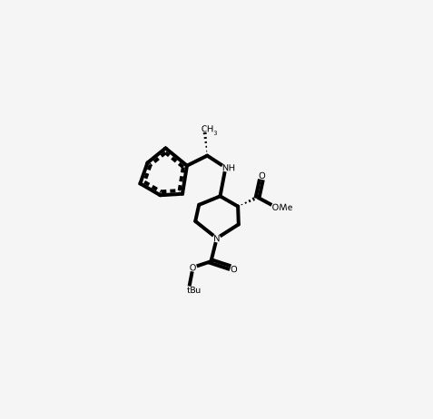 COC(=O)[C@@H]1CN(C(=O)OC(C)(C)C)CCC1N[C@@H](C)c1ccccc1